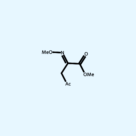 CO/N=C(\CC(C)=O)C(=O)OC